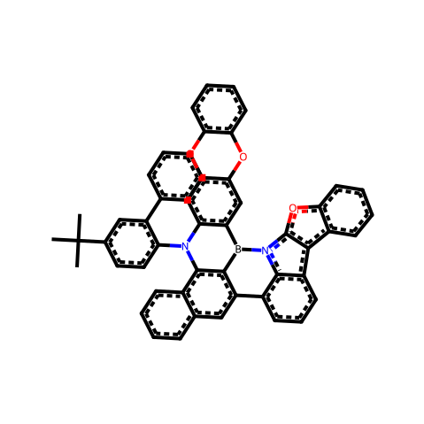 CC(C)(C)c1ccc(N2c3cc4c(cc3B3c5c(cc6ccccc6c52)-c2cccc5c6c7ccccc7oc6n3c25)Oc2ccccc2O4)c(-c2ccccc2)c1